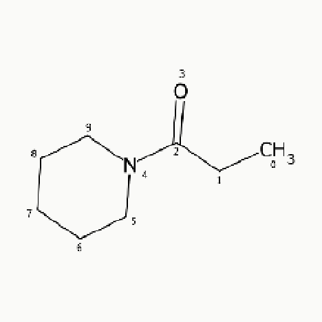 CCC(=O)N1CCCCC1